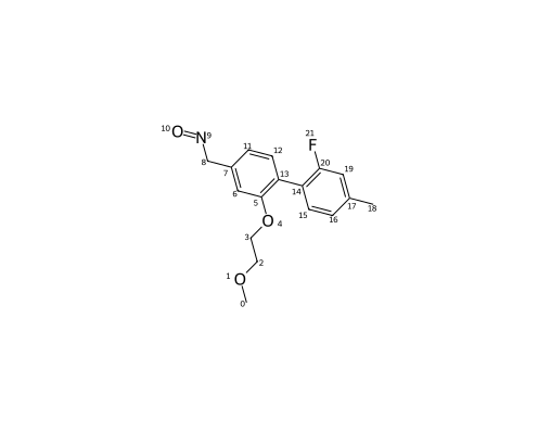 COCCOc1cc(CN=O)ccc1-c1ccc(C)cc1F